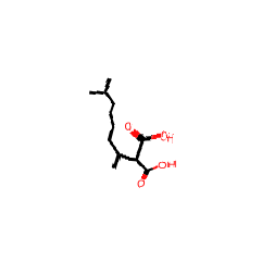 CC(C)CCCCC(C)C(C(=O)O)C(=O)O